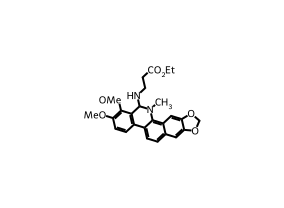 CCOC(=O)CCNC1c2c(ccc(OC)c2OC)-c2ccc3cc4c(cc3c2N1C)OCO4